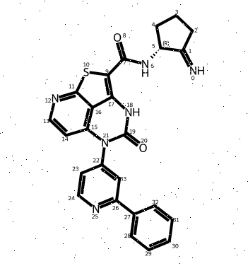 N=C1CCC[C@H]1NC(=O)c1sc2nccc3c2c1NC(=O)N3c1ccnc(-c2ccccc2)c1